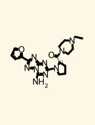 CCN1CCN(C(=O)[C@@H]2CCCN2c2nc(N)n3nc(-c4ccco4)nc3n2)CC1